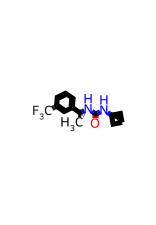 C[C@H](NC(=O)NC12CC(C1)C2)c1cccc(C(F)(F)F)c1